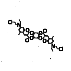 CCN(CCCl)c1ccc(C=C2C(=O)OC3(CCC4(CC3)OC(=O)C(=Cc3ccc(N(CC)CCCl)cc3C)C(=O)O4)OC2=O)c(C)c1